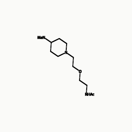 CNC1CCN(CCOCCNC(C)=O)CC1